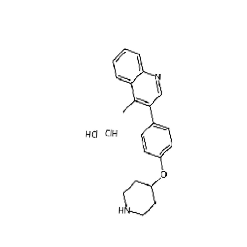 Cc1c(-c2ccc(OC3CCNCC3)cc2)cnc2ccccc12.Cl.Cl